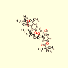 COC(=Cc1cc(C(C)C)c(OC(=O)C(C)(C)C)c(C(C)C)c1OC(C)C)C(=O)c1ccc(OC(=O)C(C)(C)C)cc1